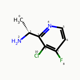 C[C@@H](N)c1nccc(F)c1Cl